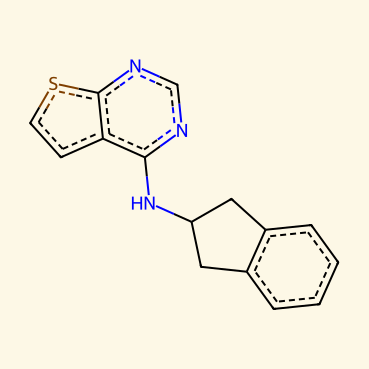 c1ccc2c(c1)CC(Nc1ncnc3sccc13)C2